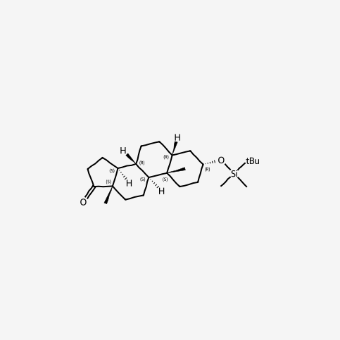 CC(C)(C)[Si](C)(C)O[C@@H]1CC[C@@]2(C)[C@H](CC[C@@H]3[C@@H]2CC[C@]2(C)C(=O)CC[C@@H]32)C1